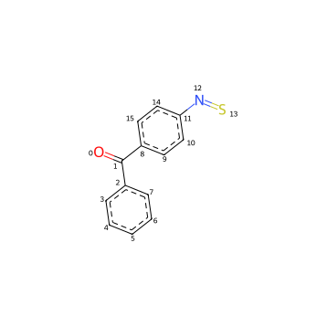 O=C(c1ccccc1)c1ccc(N=S)cc1